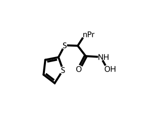 CCCC(Sc1cccs1)C(=O)NO